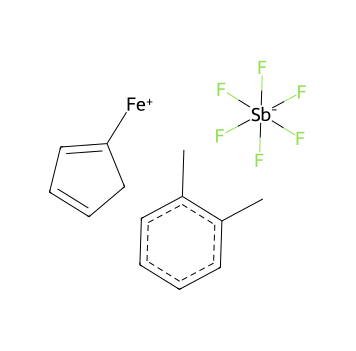 Cc1ccccc1C.[F][Sb-]([F])([F])([F])([F])[F].[Fe+][C]1=CC=CC1